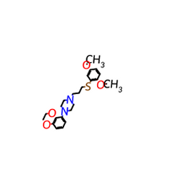 COc1ccc(OC)c(SCCCN2CCN(c3cccc4c3OCCO4)CC2)c1